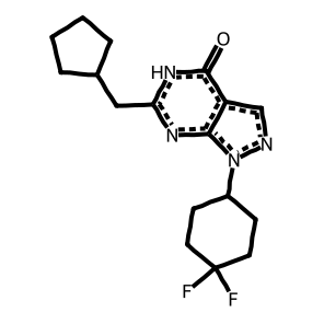 O=c1[nH]c(CC2CCCC2)nc2c1cnn2C1CCC(F)(F)CC1